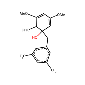 COC1=CC(O)(Cc2cc(C(F)(F)F)cc(C(F)(F)F)c2)C(C=O)C(OC)=C1